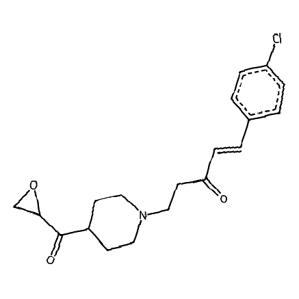 O=C(/C=C/c1ccc(Cl)cc1)CCN1CCC(C(=O)C2CO2)CC1